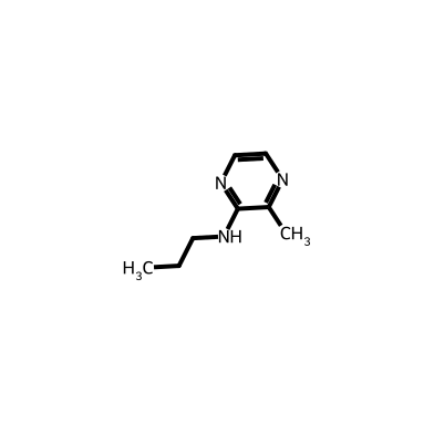 CCCNc1nccnc1C